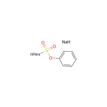 CCCCCCS(=O)(=O)Oc1ccccc1.[NaH]